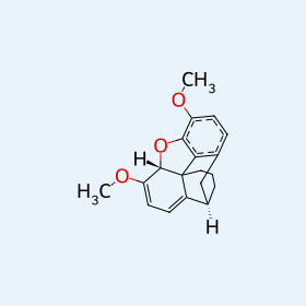 COC1=CC=C2[C@@H]3CCCC24c2c(ccc(OC)c2O[C@@H]14)C3